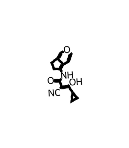 N#CC(C(=O)NC1=C2C=COC=C2CC1)=C(O)C1CC1